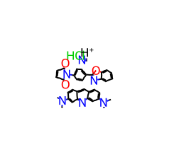 C#N.CN(C)c1ccc2cc3ccc(N(C)C)cc3nc2c1.Cl.O=C1C=CC(=O)N1c1ccc(-c2nc3ccccc3o2)cc1.[H+]